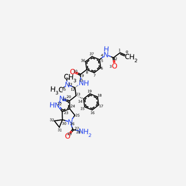 C=CC(=O)Nc1ccc(C(=O)N[C@H]([C@H](c2ccccc2)c2n[nH]c3c2CN(C(N)=O)C32CC2)N(C)C)cc1